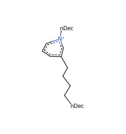 CCCCCCCCCCCCCCc1ccc[n+](CCCCCCCCCC)c1